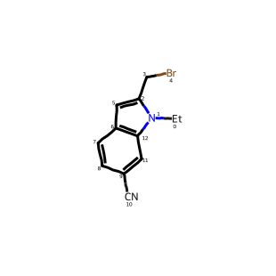 CCn1c(CBr)cc2ccc(C#N)cc21